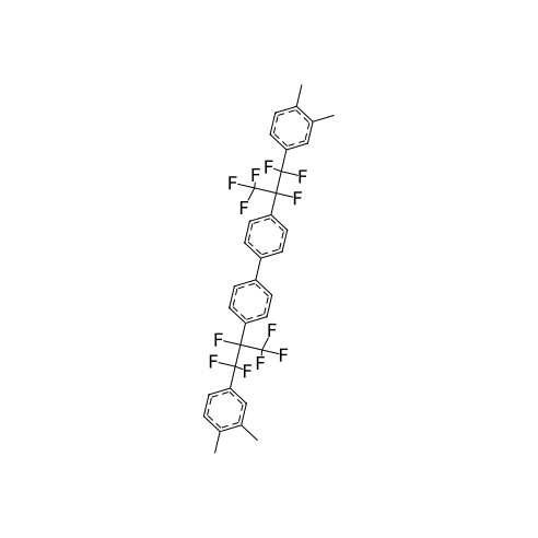 Cc1ccc(C(F)(F)C(F)(c2ccc(-c3ccc(C(F)(C(F)(F)F)C(F)(F)c4ccc(C)c(C)c4)cc3)cc2)C(F)(F)F)cc1C